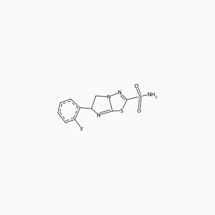 NS(=O)(=O)C1=NN2CC(c3ccccc3F)N=C2S1